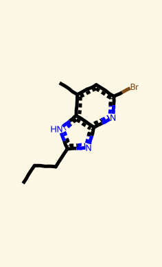 CCCc1nc2nc(Br)cc(C)c2[nH]1